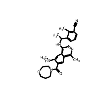 CNc1cc2c(NC(C)c3cccc(C#N)c3C)nnc(C)c2cc1C(=O)N1CCCOCC1